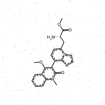 COC(=O)[C@@H](N)Cc1ccc(-c2c(OC)c3ccccc3n(C)c2=O)c2nccn12